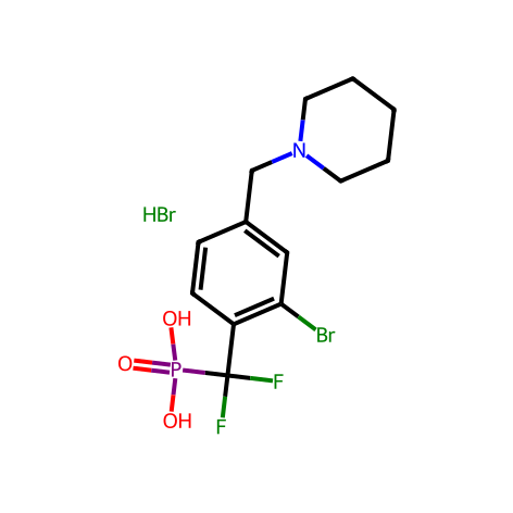 Br.O=P(O)(O)C(F)(F)c1ccc(CN2CCCCC2)cc1Br